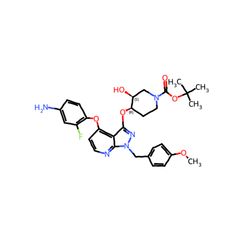 COc1ccc(Cn2nc(O[C@@H]3CCN(C(=O)OC(C)(C)C)C[C@@H]3O)c3c(Oc4ccc(N)cc4F)ccnc32)cc1